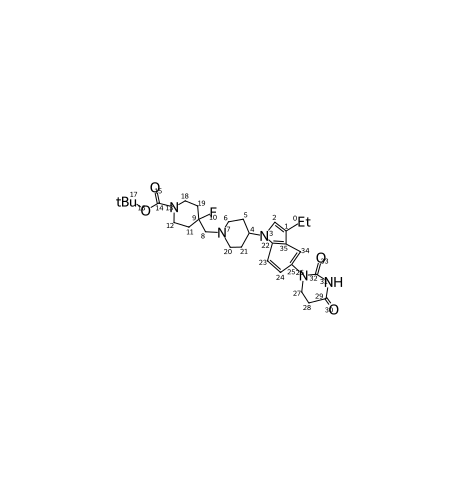 CCc1cn(C2CCN(CC3(F)CCN(C(=O)OC(C)(C)C)CC3)CC2)c2ccc(N3CCC(=O)NC3=O)cc12